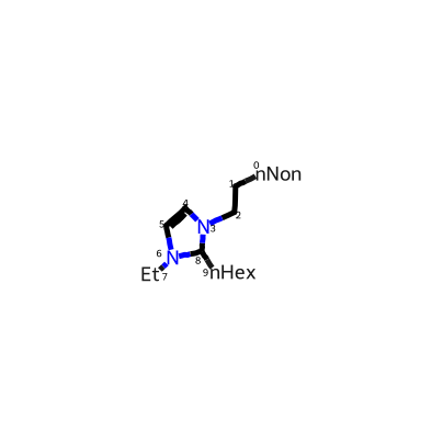 CCCCCCCCCCCN1C=CN(CC)C1CCCCCC